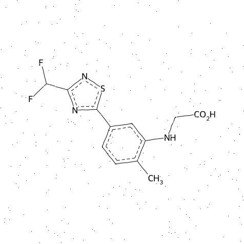 Cc1ccc(-c2nc(C(F)F)ns2)cc1NCC(=O)O